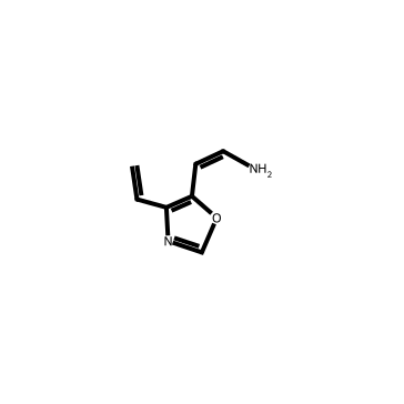 C=Cc1ncoc1/C=C\N